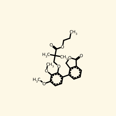 CCCOC(=O)C(C)(C)COc1c(-c2cccc3c2COC3=O)ccc(OC)c1OC